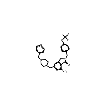 Cc1cc(CC2CCN(Cc3ccncc3)CC2)cc2c1C(=O)N(Cc1ccc(OC(F)(F)F)cc1)C2